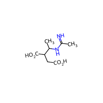 CC(=N)NC(C)C(CC(=O)O)C(=O)O